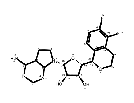 NC1NCNC2C1CCN2[C@@H]1O[C@H]([C@@H]2OCCc3c2ccc(F)c3F)[C@@H](O)[C@H]1O